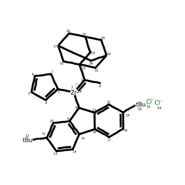 C/[C](=[Zr+2](/[C]1=CC=CC1)[CH]1c2cc(C(C)(C)C)ccc2-c2ccc(C(C)(C)C)cc21)C12CC3CC(CC(C3)C1)C2.[Cl-].[Cl-]